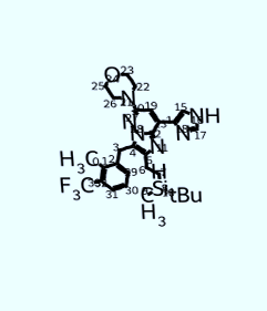 Cc1c(Cc2c(CC[SiH](C)C(C)(C)C)nc3c(-c4c[nH]cn4)cc(N4CCOCC4)nn23)cccc1C(F)(F)F